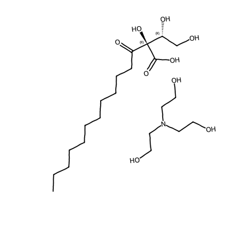 CCCCCCCCCCCC(=O)[C@@](O)(C(=O)O)[C@H](O)CO.OCCN(CCO)CCO